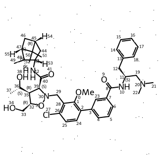 COc1c(-c2cccc(C(=O)N[C@@H](Cc3ccccc3)CN(C)C)c2)ccc(Cl)c1CN1O[C@@H](CO)[C@@H]([C@H](C)O)[C@H]1C(=O)N[C@H]1C[C@H]2C[C@@H]([C@@H]1C)C2(C)C